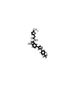 Cn1ccc(CC(=O)Nc2c[nH]c3ccc(-c4cnn(-c5ccc(C(F)(F)F)cc5)c4)cc23)n1